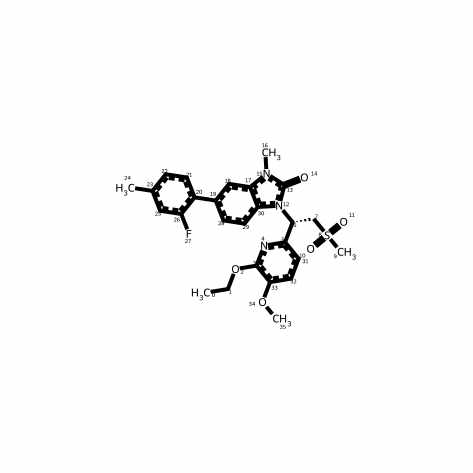 CCOc1nc([C@@H](CS(C)(=O)=O)n2c(=O)n(C)c3cc(-c4ccc(C)cc4F)ccc32)ccc1OC